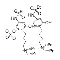 CCC[N+](C)(CCCCc1ccc(NS(=O)(=O)CC)cc1O)CC(C)C.CCC[N+](C)(CCCCc1ccc(NS(=O)(=O)CC)cc1O)CC(C)C.O=S(=O)([O-])[O-]